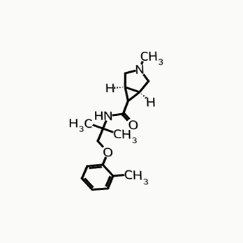 Cc1ccccc1OCC(C)(C)NC(=O)C1[C@H]2CN(C)C[C@@H]12